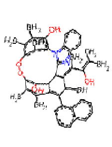 B=C1C(c2cccc3ccccc23)=C2C(B)=C(B)C3=C(O)C2C(/C1=C(B)/C(O)=C(/B)C)c1nc2ccccc2n1-c1c(B)c(c(B)c(B)c1O)OO3